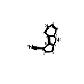 N#CC1CCC2N=c3ccccc3=C12